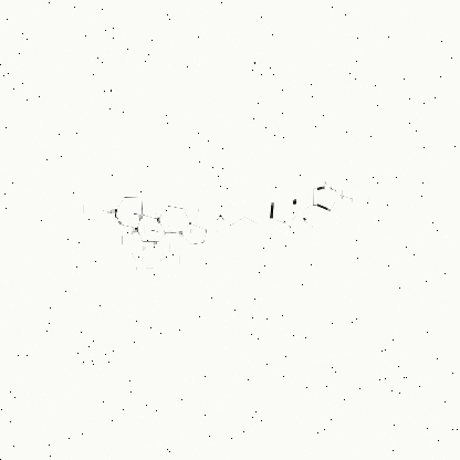 CC[C@H]1[C@@H](O)[C@@H]2[C@H](CC[C@]3(C)[C@@H](CCCOC(=O)NS(=O)(=O)c4cnn(C)c4)CC[C@@H]23)[C@@]2(C)CC[C@@H](O)C[C@@H]12